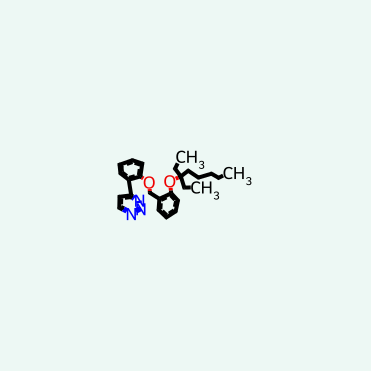 CCCCCC(CC)(CC)Oc1ccccc1COc1ccccc1-c1ccnnn1